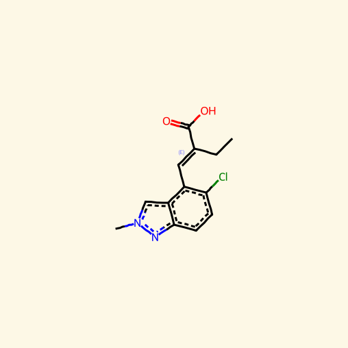 CC/C(=C\c1c(Cl)ccc2nn(C)cc12)C(=O)O